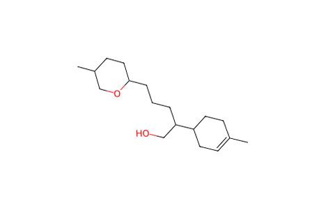 CC1=CCC(C(CO)CCCC2CCC(C)CO2)CC1